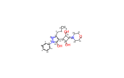 CCCc1nn(-c2ccccc2)c(O)c1C1C(O)C(N2CCOCC2)C1O